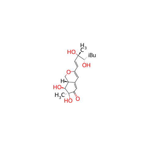 CC[C@@H](C)[C@H](O)[C@@](C)(O)/C=C/C1=CC2=CC(=O)[C@@](C)(O)[C@@H](O)[C@@H]2CO1